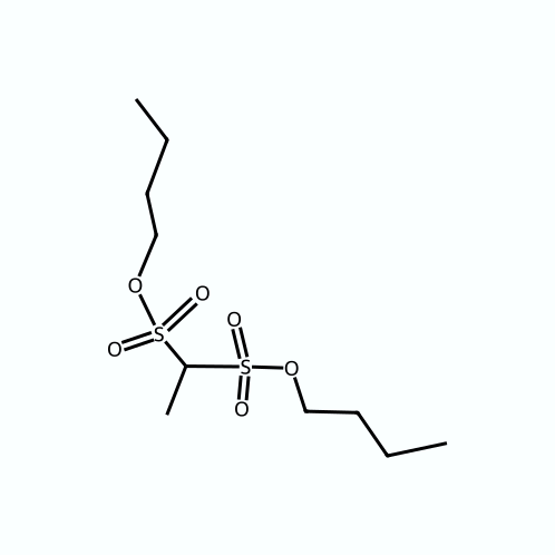 CCCCOS(=O)(=O)C(C)S(=O)(=O)OCCCC